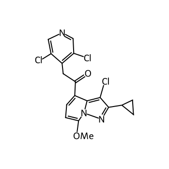 COc1ccc(C(=O)Cc2c(Cl)cncc2Cl)c2c(Cl)c(C3CC3)nn12